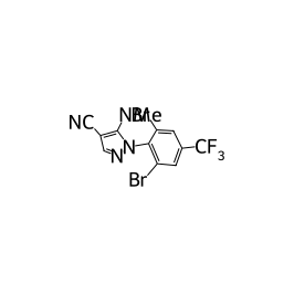 CNc1c(C#N)cnn1-c1c(Br)cc(C(F)(F)F)cc1Br